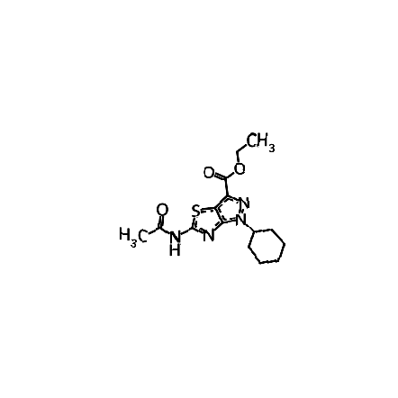 CCOC(=O)c1nn(C2CCCCC2)c2nc(NC(C)=O)sc12